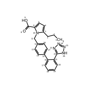 CCCc1ccc(C(=O)O)n1Cc1ccc(-c2ccccc2-c2nnn[nH]2)cc1